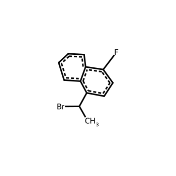 CC(Br)c1ccc(F)c2ccccc12